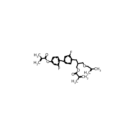 C=C(C)COCC(COC(=O)C(=C)C)Cc1ccc(-c2ccc(OC(=O)C(=C)C)cc2F)cc1F